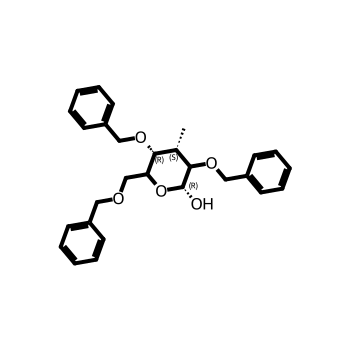 C[C@@H]1C(OCc2ccccc2)[C@H](O)OC(COCc2ccccc2)[C@@H]1OCc1ccccc1